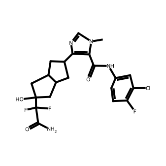 Cn1cnc(C2CC3CC(O)(C(F)(F)C(N)=O)CC3C2)c1C(=O)Nc1ccc(F)c(Cl)c1